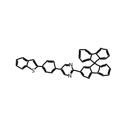 c1ccc2c(c1)-c1ccccc1C21c2ccccc2-c2ccc(-c3ncc(-c4ccc(-c5cc6ccccc6s5)cc4)cn3)cc21